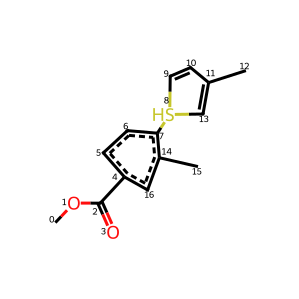 COC(=O)c1ccc([SH]2C=CC(C)=C2)c(C)c1